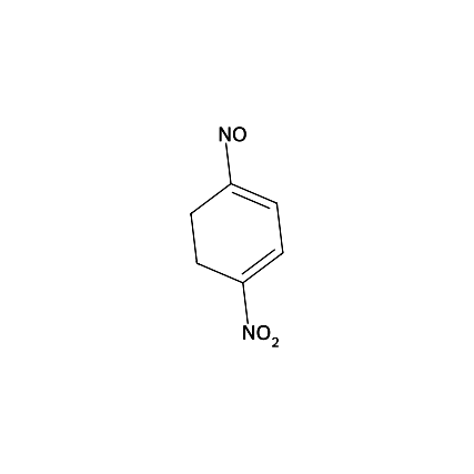 O=NC1=CC=C([N+](=O)[O-])CC1